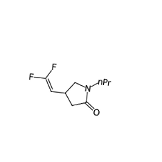 CCCN1CC(C=C(F)F)CC1=O